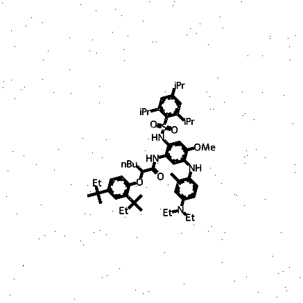 CCCCC(Oc1ccc(C(C)(C)CC)cc1C(C)(C)CC)C(=O)Nc1cc(Nc2ccc(N(CC)CC)cc2C)c(OC)cc1NS(=O)(=O)c1c(C(C)C)cc(C(C)C)cc1C(C)C